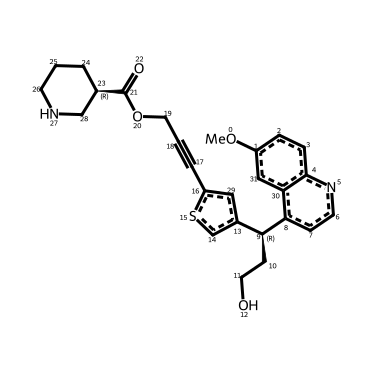 COc1ccc2nccc([C@@H](CCO)c3csc(C#CCOC(=O)[C@@H]4CCCNC4)c3)c2c1